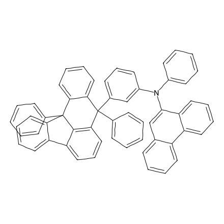 c1ccc(N(c2cccc(C3(c4ccccc4)c4ccccc4C4(c5ccccc5)c5ccccc5-c5cccc3c54)c2)c2cc3ccccc3c3ccccc23)cc1